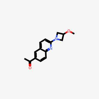 COC1CN(c2ccc3cc(C(C)=O)ccc3n2)C1